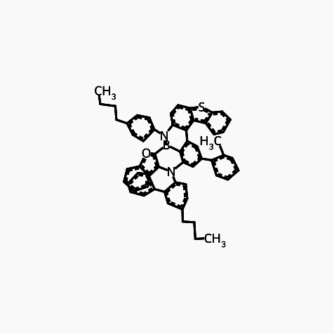 CCCCc1ccc(N2B3c4oc5ccccc5c4N(c4ccc(CCCC)cc4-c4ccccc4)c4cc(-c5ccccc5C)cc(c43)-c3c2ccc2sc4ccccc4c32)cc1